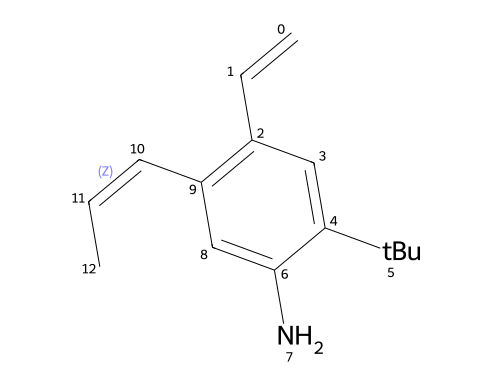 C=Cc1cc(C(C)(C)C)c(N)cc1/C=C\C